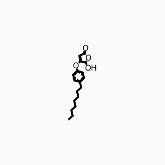 CCCCCCCCc1ccc(OC2=CC(=O)OC2O)cc1